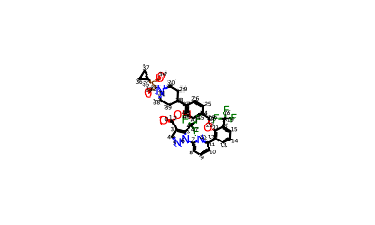 O=C(O)c1cnn(-c2cccc(-c3cccc(C(F)(F)F)c3OCc3ccc(C4CCN(S(=O)(=O)C5CC5)CC4)cc3)n2)c1C(F)(F)F